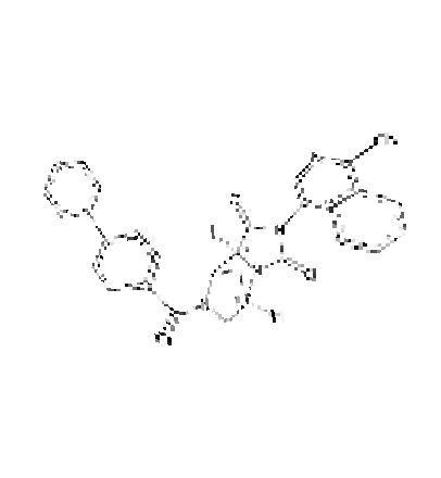 N#Cc1ncc(N2C(=O)[C@@H]3C4C[C@H](CN4C(=O)c4ccc(-c5ccccc5)cc4)N3C2=O)c2ccccc12